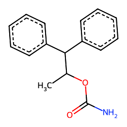 CC(OC(N)=O)C(c1ccccc1)c1ccccc1